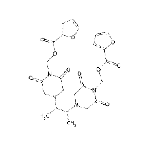 C[C@H]([C@H](C)N1CC(=O)N(COC(=O)c2ccco2)C(=O)C1)N1CC(=O)N(COC(=O)c2ccco2)C(=O)C1